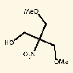 COCC(CO)(COC)[N+](=O)[O-]